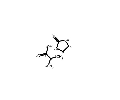 CC(C)C(=O)O.S=C1SCCS1